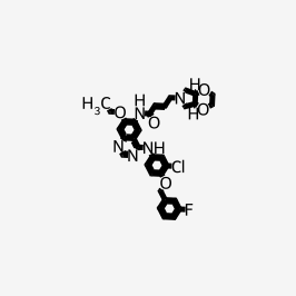 CCOc1cc2ncnc(Nc3ccc(OCc4cccc(F)c4)c(Cl)c3)c2cc1NC(=O)C=CCN1C[C@@H]2OCCO[C@@H]2C1